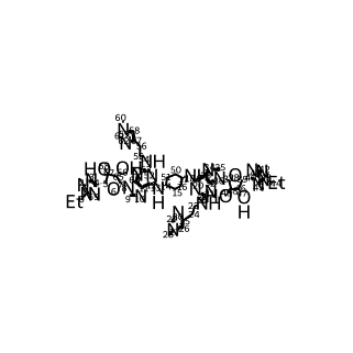 CCn1nnc([C@H]2O[C@@H](n3cnc4c(N[C@H]5CC[C@H](Nc6nc(NCCc7cn(C)cn7)nc7c6ncn7[C@@H]6O[C@H](c7nnn(CC)n7)[C@@H](O)[C@H]6O)CC5)nc(NCCc5cn(C)cn5)nc43)[C@H](O)[C@@H]2O)n1